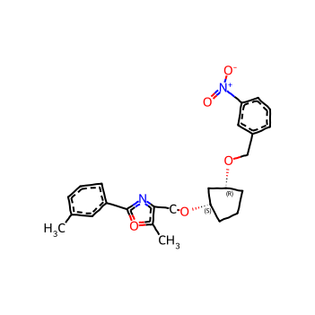 Cc1cccc(-c2nc(CO[C@H]3CCC[C@@H](OCc4cccc([N+](=O)[O-])c4)C3)c(C)o2)c1